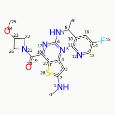 CNc1cc2nc(NC(C)c3cncc(F)c3)nc(C(=O)N3CC(OC)C3)c2s1